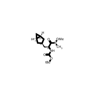 CON(C)C(=O)[C@H](C[C@@H]1C[C@@H]2C[C@@H]2C1)NC(=O)OC(C)(C)C